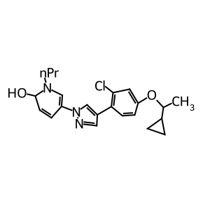 CCCN1C=C(n2cc(-c3ccc(OC(C)C4CC4)cc3Cl)cn2)C=CC1O